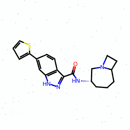 O=C(N[C@H]1CCCC2CCN2C1)c1n[nH]c2cc(-c3cccs3)ccc12